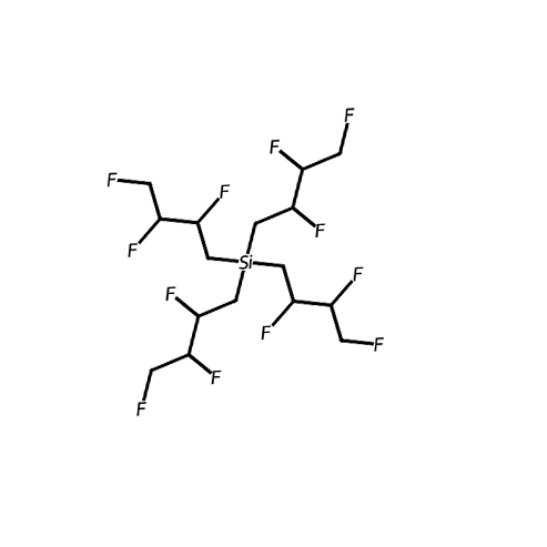 FCC(F)C(F)C[Si](CC(F)C(F)CF)(CC(F)C(F)CF)CC(F)C(F)CF